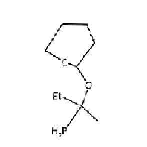 CCC(C)(P)OC1CCCCC1